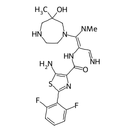 CN/C(=C(\C=N)NC(=O)c1nc(-c2c(F)cccc2F)sc1N)N1CCNCC(C)(O)C1